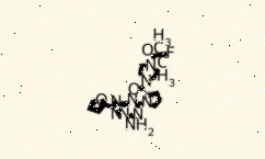 CC(C)(F)C(=O)N1CCN(C(=O)[C@@H]2CCCN2c2nc(N)n3nc(-c4ccco4)nc3n2)CC1